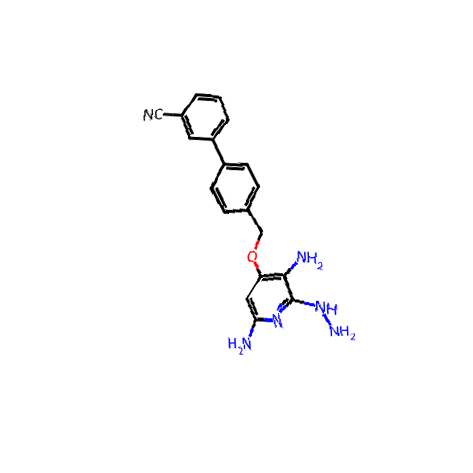 N#Cc1cccc(-c2ccc(COc3cc(N)nc(NN)c3N)cc2)c1